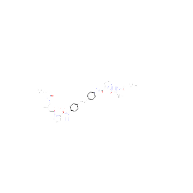 COC(=O)NCC(C)CC(=O)N1CCCC1C(=O)Nc1ccc(CCc2ccc(NC(=O)C3CCCN3C(=O)C(NC(=O)OC)C(C)C)cc2)cc1